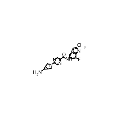 Cc1cn2cc(NC(=O)c3cnc(N4CC5C(N)C5C4)cn3)cc(F)c2n1